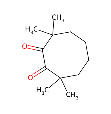 CC1(C)CCCCC(C)(C)C(=O)C1=O